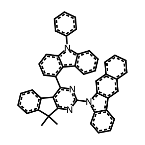 CC1(C)c2ccccc2-c2c(-c3cccc4c3c3ccccc3n4-c3ccccc3)nc(-n3c4ccccc4c4cc5ccccc5cc43)nc21